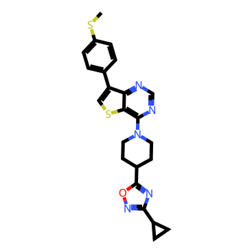 CSc1ccc(-c2csc3c(N4CCC(c5nc(C6CC6)no5)CC4)ncnc23)cc1